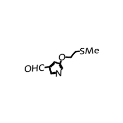 CSCCOc1cncc(C=O)c1